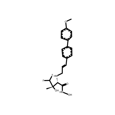 COc1ccc(-c2ccc(/C=C/CN[C@H](C(=O)NO)[C@](C)(O)C(F)F)cc2)cc1